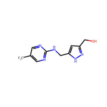 OCc1cc(CNc2ncc(C(F)(F)F)cn2)[nH]n1